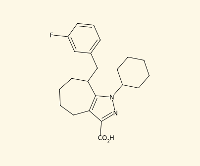 O=C(O)c1nn(C2CCCCC2)c2c1CCCCC2Cc1cccc(F)c1